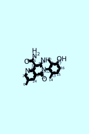 Cc1cnc2c(C(N)=O)c(N)n(-c3c(C)ccc(O)c3C)c(=O)c2c1